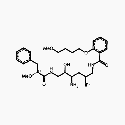 COCCCCOc1ccccc1C(=O)NCC(CC(N)C(O)CNC(=O)[C@@H](Cc1ccccc1)OC)C(C)C